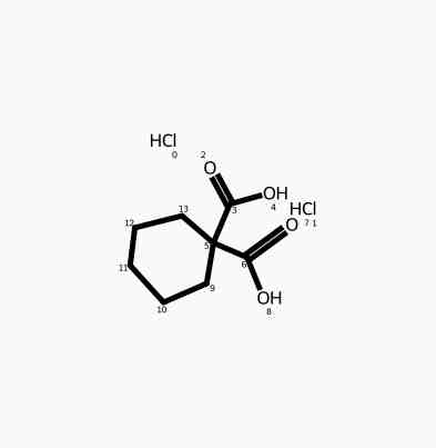 Cl.Cl.O=C(O)C1(C(=O)O)CCCCC1